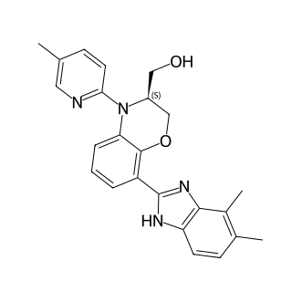 Cc1ccc(N2c3cccc(-c4nc5c(C)c(C)ccc5[nH]4)c3OC[C@@H]2CO)nc1